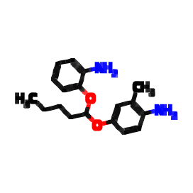 CCCCC(Oc1ccc(N)c(C)c1)Oc1ccccc1N